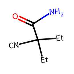 [C-]#[N+]C(CC)(CC)C(N)=O